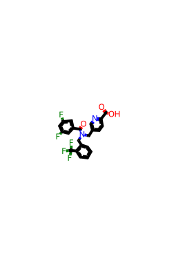 O=C(O)c1ccc(CN(Cc2ccccc2C(F)(F)F)C(=O)c2cc(F)cc(F)c2)cn1